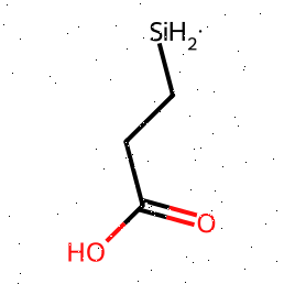 O=C(O)CC[SiH2]